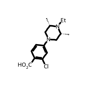 CCN1[C@H](C)CN(c2ccc(C(=O)O)c(Cl)c2)C[C@@H]1C